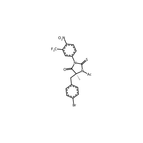 CC(=O)N1C(=S)N(c2ccc([N+](=O)[O-])c(C(F)(F)F)c2)C(=O)[C@]1(C)Cc1ccc(Br)cc1